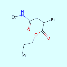 CCNC(=O)CC(CC)C(=O)OCCC(C)C